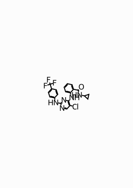 O=C(NC1CC1)c1ccccc1Nc1nc(Nc2ccc(C(F)(F)F)cc2)ncc1Cl